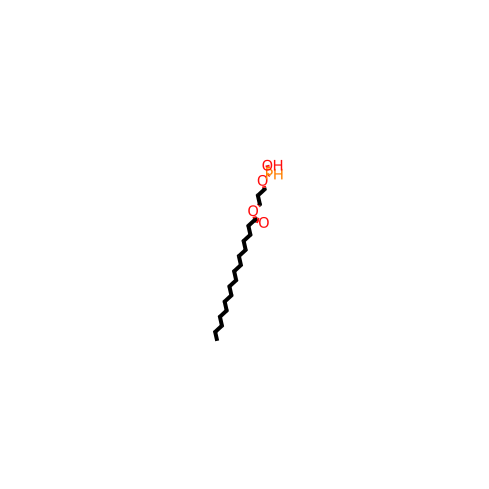 CCCCCCCCCCCCCCCCC(=O)OCCCOPO